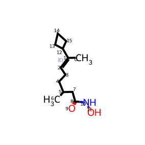 C/C(=C\CCC(C)CC(=O)NO)C1CCC1